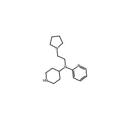 c1ccc(N(CCN2CCCC2)C2CCNCC2)nc1